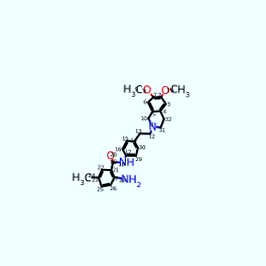 COc1cc2c(cc1OC)CN(CCc1ccc(NC(=O)c3cc(C)ccc3N)cc1)CC2